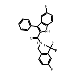 O=C(NCc1ccc(F)cc1C(F)(F)F)c1[nH]c2ccc(F)cc2c1-c1ccccc1